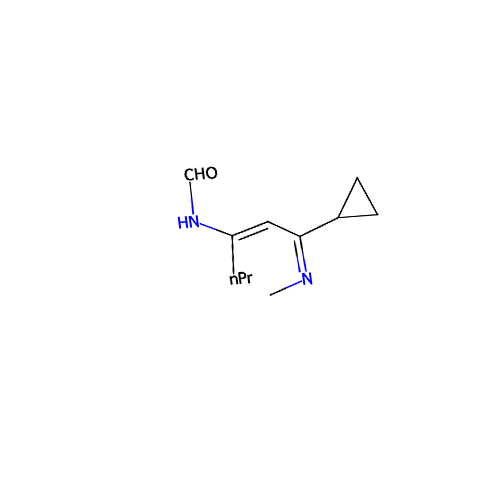 CCC/C(=C\C(=N/C)C1CC1)NC=O